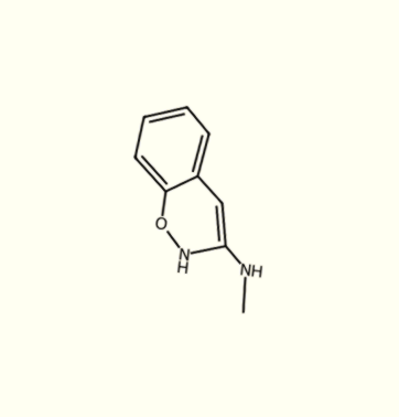 CNC1=Cc2ccccc2ON1